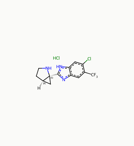 Cl.FC(F)(F)c1cc2nc([C@]34C[C@H]3CCN4)[nH]c2cc1Cl